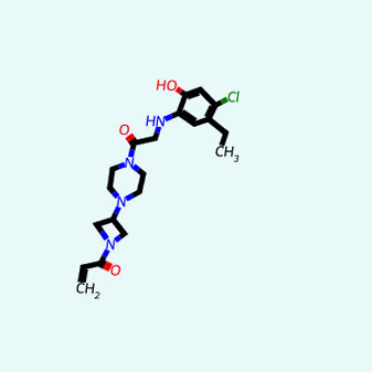 C=CC(=O)N1CC(N2CCN(C(=O)CNc3cc(CC)c(Cl)cc3O)CC2)C1